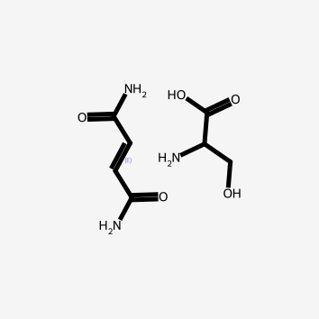 NC(=O)/C=C/C(N)=O.NC(CO)C(=O)O